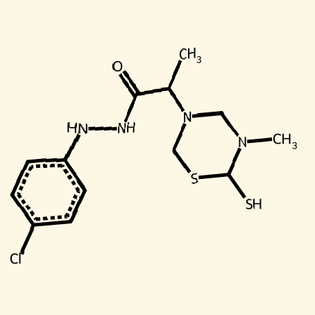 CC(C(=O)NNc1ccc(Cl)cc1)N1CSC(S)N(C)C1